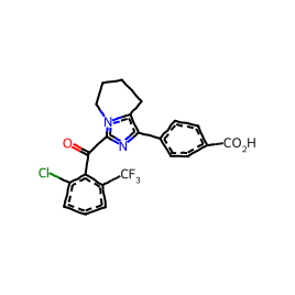 O=C(O)c1ccc(-c2nc(C(=O)c3c(Cl)cccc3C(F)(F)F)n3c2CCCC3)cc1